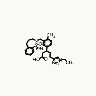 CCn1cc(CCC(CC(=O)O)c2ccc(C)c(CN3CCCc4ccccc4S3(O)O)c2)nn1